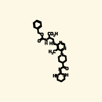 Cc1c(NCC(NC(=O)OCc2ccccc2)C(=O)O)ncnc1N1CCC(C(=O)N=C2NCCCN2)CC1